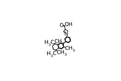 Cc1cc2c(cc1-c1cccc(N3CC(C(=O)O)C3)c1)C(C)(C)CCC2(C)C